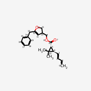 C=CC=C[C@@H]1[C@@H](C(=O)OCC2C=C(Cc3ccccc3)OC2)C1(C)C